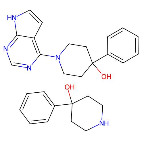 OC1(c2ccccc2)CCN(c2ncnc3[nH]ccc23)CC1.OC1(c2ccccc2)CCNCC1